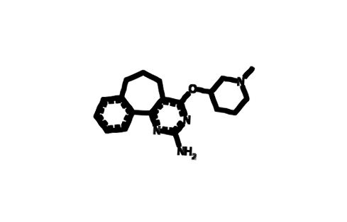 CN1CCCC(Oc2nc(N)nc3c2CCCc2ccccc2-3)C1